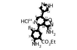 CCOC(=O)c1cc(-c2ncc(-c3cn[nH]c3)c3onc(N)c23)c(F)cc1N.Cl